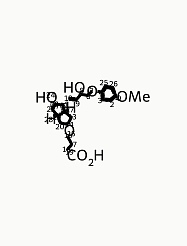 COc1ccc(OCC(O)C=C[C@@H]2[C@@H]3CC(OCCCC(=O)O)C[C@H]3C[C@H]2O)cc1